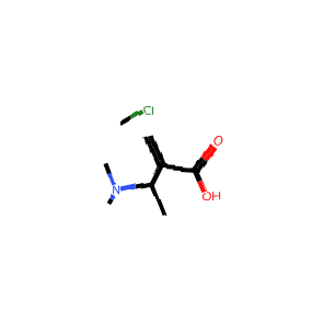 C=C(C(=O)O)C(C)N(C)C.CCl